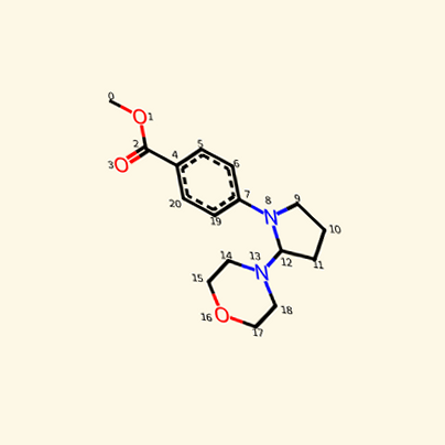 COC(=O)c1ccc(N2CCCC2N2CCOCC2)cc1